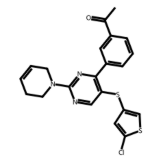 CC(=O)c1cccc(-c2nc(N3CC=CCC3)ncc2Sc2csc(Cl)c2)c1